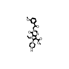 CCn1c(N2CCNCC2)c(C(=O)OC)c2ncn(CC(=O)c3cccc(OC)c3)c(=O)c21